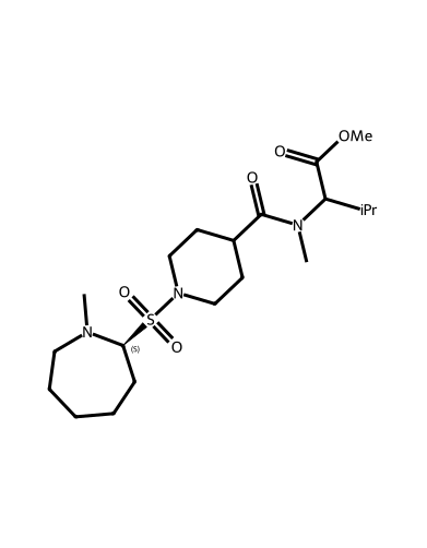 COC(=O)C(C(C)C)N(C)C(=O)C1CCN(S(=O)(=O)[C@H]2CCCCCN2C)CC1